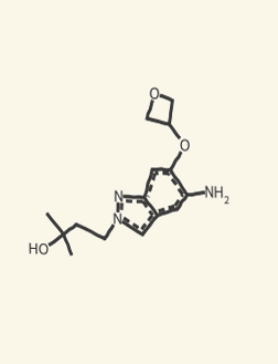 CC(C)(O)CCn1cc2cc(N)c(OC3COC3)cc2n1